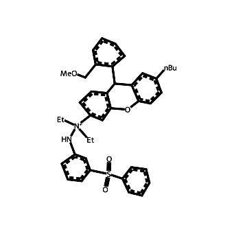 CCCCc1ccc2c(c1)C(c1ccccc1COC)c1ccc([N+](CC)(CC)Nc3cccc(S(=O)(=O)c4ccccc4)c3)cc1O2